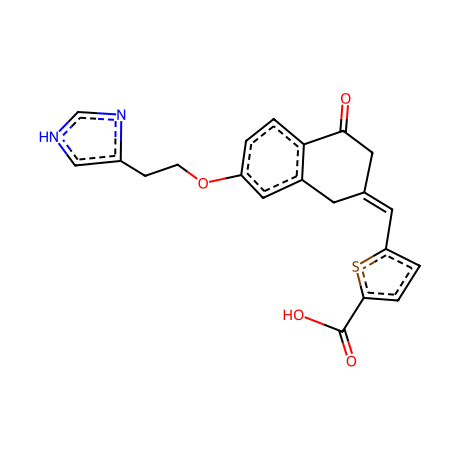 O=C(O)c1ccc(C=C2CC(=O)c3ccc(OCCc4c[nH]cn4)cc3C2)s1